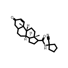 C[C@]12C=CC(=O)CC1CC[C@@H]1[C@H]2CC[C@]2(C)C(C(=O)NC3(C#N)CCCC3)CC[C@@H]12